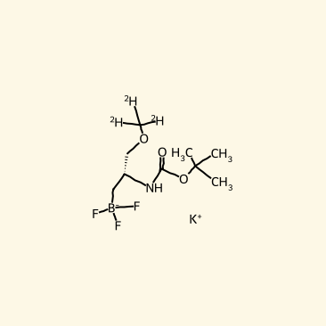 [2H]C([2H])([2H])OC[C@@H](C[B-](F)(F)F)NC(=O)OC(C)(C)C.[K+]